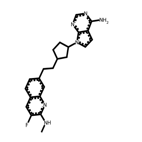 CNc1nc2cc(CCC3CCC(n4ccc5c(N)ncnc54)C3)ccc2cc1F